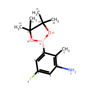 Cc1c(N)cc(F)cc1B1OC(C)(C)C(C)(C)O1